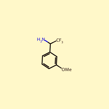 COc1cccc(C(N)C(F)(F)F)c1